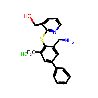 Cl.NCc1cc(-c2ccccc2)cc(C(F)(F)F)c1Sc1ncccc1CO